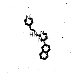 c1ccc2cc(-c3ccnc(NCCc4ccncc4)n3)ccc2c1